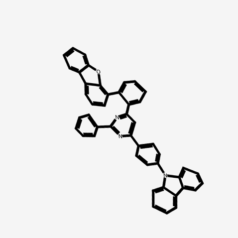 c1ccc(-c2nc(-c3ccc(-n4c5ccccc5c5ccccc54)cc3)cc(-c3ccccc3-c3cccc4c3oc3ccccc34)n2)cc1